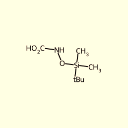 CC(C)(C)[Si](C)(C)ONC(=O)O